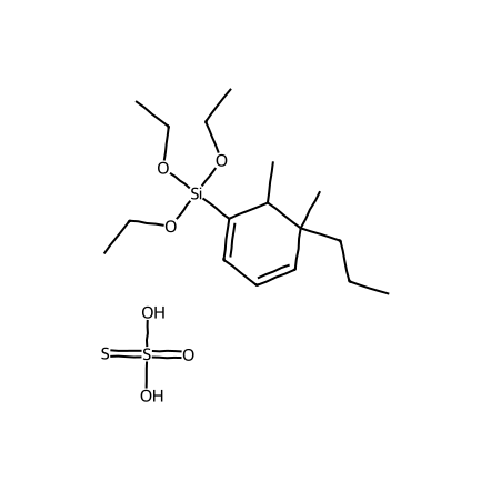 CCCC1(C)C=CC=C([Si](OCC)(OCC)OCC)C1C.O=S(O)(O)=S